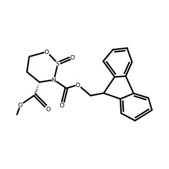 COC(=O)[C@@H]1CCOS(=O)N1C(=O)OCC1c2ccccc2-c2ccccc21